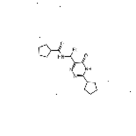 CCC(NC(=O)C1CCCC1)c1nnc(C2CCCC2)[nH]c1=O